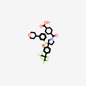 O=C(O)C1CCC(C(=O)N2CCC(c3ccc(C(F)(C(F)(F)F)C(F)(F)F)cc3)([S+]([O-])c3cccc(C4CCOCC4)c3)C2)CC1